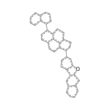 c1ccc2cc3c(cc2c1)oc1cc(-c2ccc4ccc5c(-c6cccc7ccccc67)ccc6ccc2c4c65)ccc13